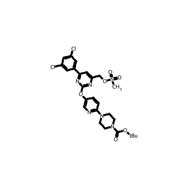 CC(C)(C)OC(=O)N1CCN(c2ccc(Oc3nc(COS(C)(=O)=O)cc(-c4cc(Cl)cc(Cl)c4)n3)cn2)CC1